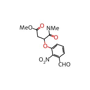 CNC(=O)C(CC(=O)OC)Oc1cccc(C=O)c1[N+](=O)[O-]